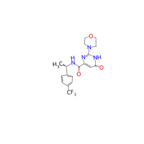 C[C@@H](NC(=O)c1cc(=O)[nH]c(N2CCOCC2)n1)c1ccc(C(F)(F)F)cc1